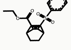 CCOC(=O)C1=C(S(=O)(=O)c2ccccc2)C2C=CC1CC2